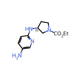 CCOC(=O)N1CC[C@H](Nc2ccc(N)cn2)C1